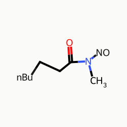 CCCCCCC(=O)N(C)N=O